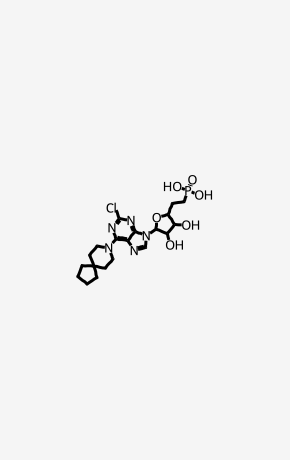 O=P(O)(O)CCC1OC(n2cnc3c(N4CCC5(CCCC5)CC4)nc(Cl)nc32)C(O)C1O